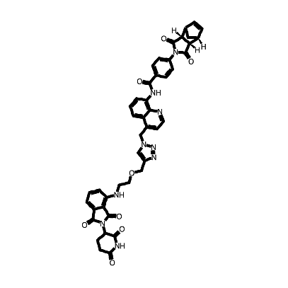 O=C1CCC(N2C(=O)c3cccc(NCCOCc4cn(Cc5ccnc6c(NC(=O)c7ccc(N8C(=O)[C@@H]9[C@H](C8=O)C8C=C[C@H]9C8)cc7)cccc56)nn4)c3C2=O)C(=O)N1